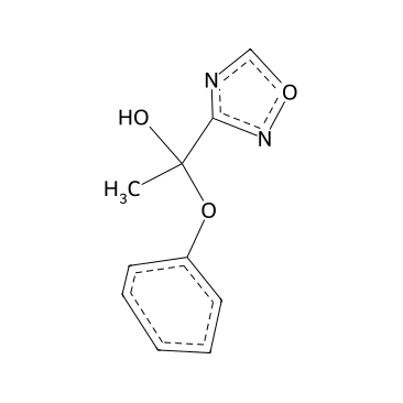 CC(O)(Oc1ccccc1)c1ncon1